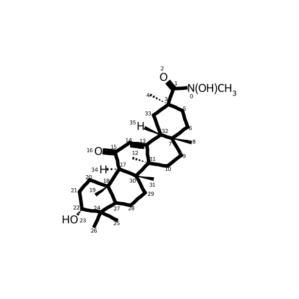 CN(O)C(=O)[C@@]1(C)CC[C@]2(C)CC[C@]3(C)C(=CC(=O)[C@@H]4[C@@]5(C)CC[C@@H](O)C(C)(C)C5CC[C@]43C)[C@@H]2C1